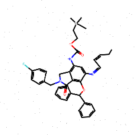 CC/C=C\C=N/c1cc(NC(=O)OCC[Si](C)(C)C)c2c(c1OC(c1ccccc1)c1ccccc1)C(=O)N(Cc1ccc(F)cc1)C2